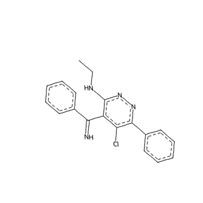 CCNc1nnc(-c2ccccc2)c(Cl)c1C(=N)c1ccccc1